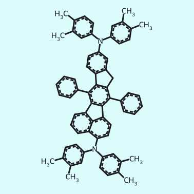 Cc1ccc(N(c2ccc(C)c(C)c2)c2ccc3c(c2)Cc2c(-c4ccccc4)c4c(c(-c5ccccc5)c2-3)-c2cccc3c(N(c5ccc(C)c(C)c5)c5ccc(C)c(C)c5)ccc-4c23)cc1C